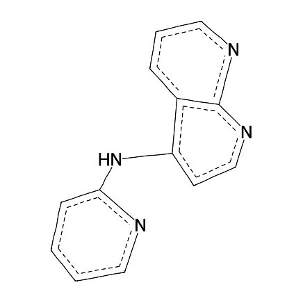 c1ccc(Nc2ccnc3ncccc23)nc1